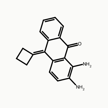 Nc1ccc2c(c1N)C(=O)c1ccccc1C2=C1CCC1